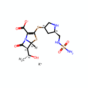 C[C@@H](O)[C@H]1C(=O)N2C(C(=O)[O-])=C(S[C@H]3CN[C@@H](CNS(N)(=O)=O)C3)S[C@H]12.[K+]